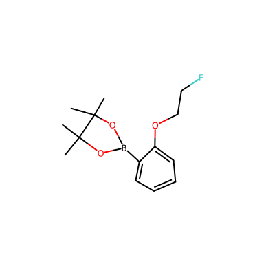 CC1(C)OB(c2ccccc2OCCF)OC1(C)C